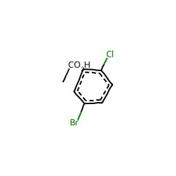 CC(=O)O.Clc1ccc(Br)cc1